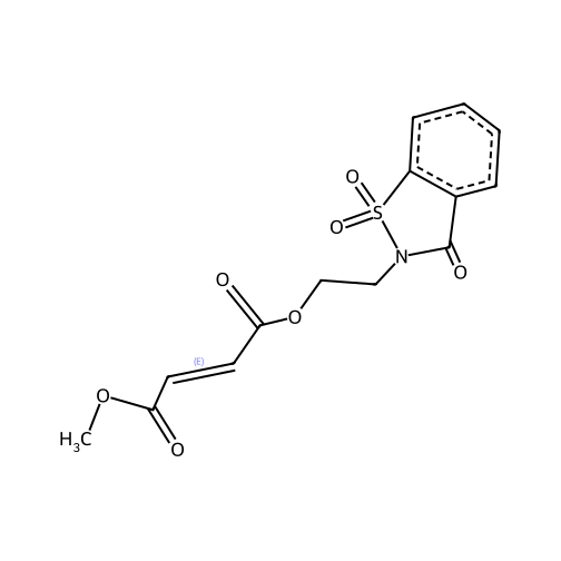 COC(=O)/C=C/C(=O)OCCN1C(=O)c2ccccc2S1(=O)=O